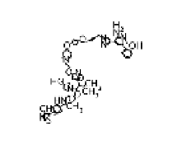 Cc1ncsc1-c1ccc([C@H](C)NC(=O)[C@@H]2C[C@@H](O)CN2C(=O)[C@@H](c2cc(OCCN3CCC(O[C@H]4C[C@H](OCC#CCn5cc(-c6cc(-c7ccccc7O)nnc6N)cn5)C4)CC3)no2)C(C)C)cc1